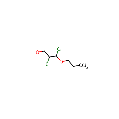 [O]CC(Cl)C(Cl)OCCC(Cl)(Cl)Cl